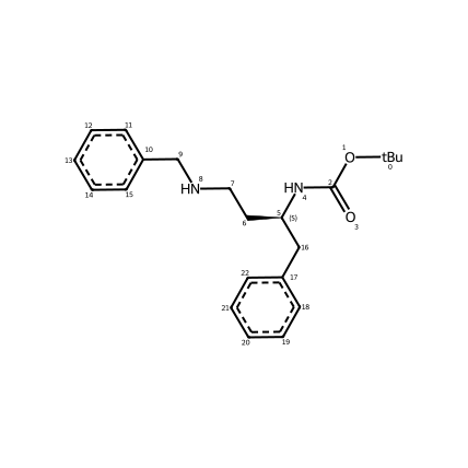 CC(C)(C)OC(=O)N[C@H](CCNCc1ccccc1)Cc1ccccc1